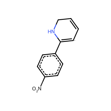 O=[N+]([O-])c1ccc(C2=[C]C=CCN2)cc1